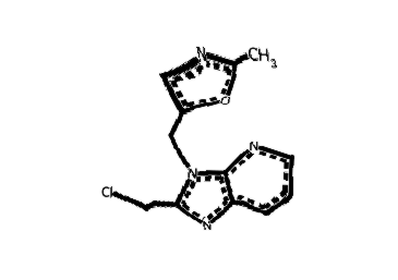 Cc1ncc(Cn2c(CCl)nc3cccnc32)o1